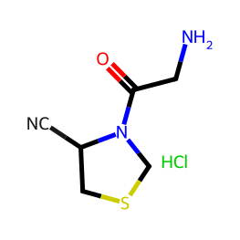 Cl.N#CC1CSCN1C(=O)CN